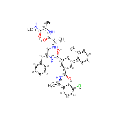 CCNC(=O)[C@@H](NC(=O)[C@H](C)NC[C@H](Cc1ccccc1)NC(=O)c1cc(C(=O)N[C@H](C)c2cccc(Cl)c2)cc(-c2ccccc2C#N)c1)C(C)C